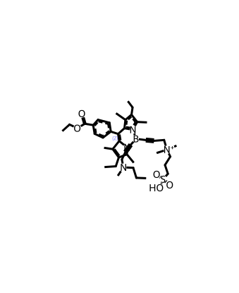 CCCN(C)CC#CB(C#CC[N+](C)(C)CCCS(=O)(=O)O)n1c(C)c(CC)c(C)c1/C(=C1\N=C(C)C(CC)=C1C)c1ccc(C(=O)OCC)cc1